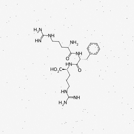 N=C(N)NCCC[C@H](NC(=O)[C@@H](Cc1ccccc1)NC(=O)[C@@H](N)CCCNC(=N)N)C(=O)O